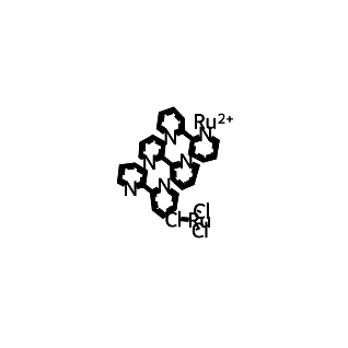 [Cl][Ru]([Cl])[Cl].[Ru+2].c1ccc(-c2ccccn2)nc1.c1ccc(-c2ccccn2)nc1.c1ccc(-c2ccccn2)nc1